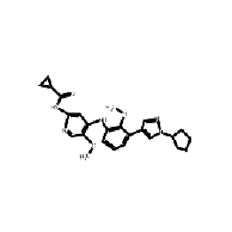 COc1cnc(NC(=O)C2CC2)cc1Nc1cccc(-c2cnn(C3CCCC3)c2)c1OC